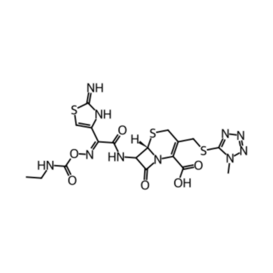 CCNC(=O)ON=C(C(=O)NC1C(=O)N2C(C(=O)O)=C(CSc3nnnn3C)CS[C@@H]12)c1csc(=N)[nH]1